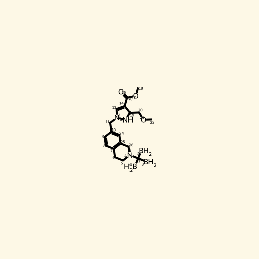 BC(B)(B)N1CCc2ccc(CN3C=C(C(=O)OC)C(COC)N3)cc2C1